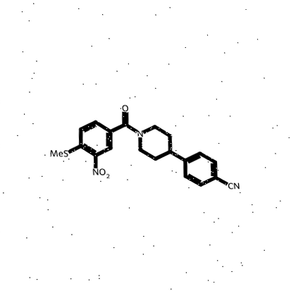 CSc1ccc(C(=O)N2CCC(c3ccc(C#N)cc3)CC2)cc1[N+](=O)[O-]